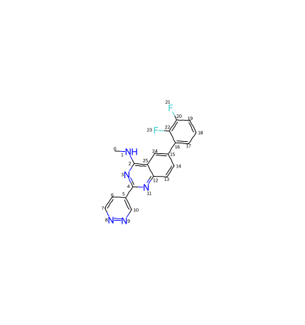 CNc1nc(-c2ccnnc2)nc2ccc(-c3cccc(F)c3F)cc12